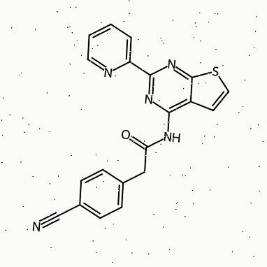 N#Cc1ccc(CC(=O)Nc2nc(-c3ccccn3)nc3sccc23)cc1